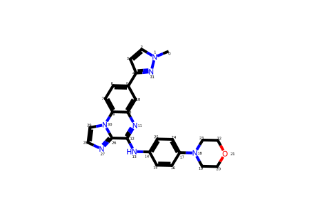 Cn1ccc(-c2ccc3c(c2)nc(Nc2ccc(N4CCOCC4)cc2)c2nccn23)n1